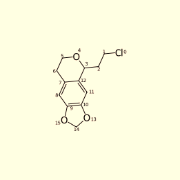 ClCCC1OCCc2cc3c(cc21)OCO3